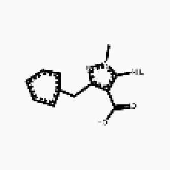 Cn1nc(Cc2ccccc2)c(C(=O)O)c1N